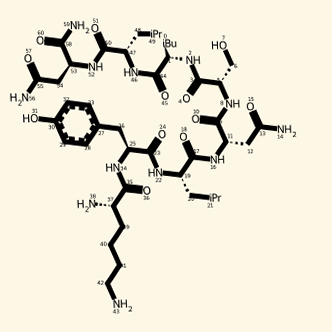 CC[C@H](C)[C@H](NC(=O)[C@H](CO)NC(=O)[C@H](CC(N)=O)NC(=O)[C@H](CC(C)C)NC(=O)[C@H](Cc1ccc(O)cc1)NC(=O)[C@@H](N)CCCCN)C(=O)N[C@@H](CC(C)C)C(=O)N[C@@H](CC(N)=O)C(N)=O